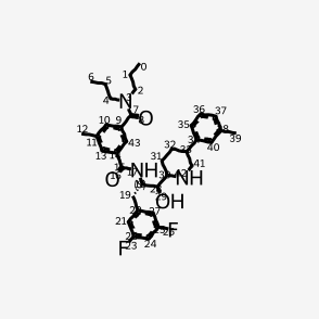 CCCN(CCC)C(=O)c1cc(C)cc(C(=O)N[C@@H](Cc2cc(F)cc(F)c2)C(O)C2CCC(c3cccc(C)c3)CN2)c1